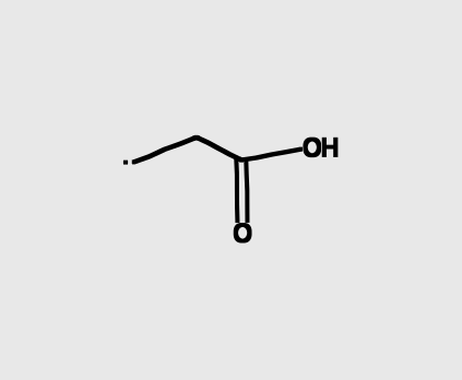 [CH2]CC(=O)O